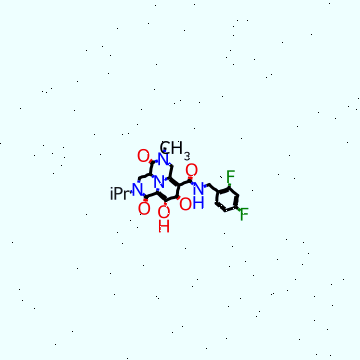 CC(C)N1CC2C(=O)N(C)Cc3c(C(=O)NCc4ccc(F)cc4F)c(=O)c(O)c(n32)C1=O